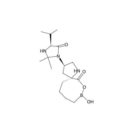 CC(C)[C@@H]1NC(C)(C)N([C@H]2CN[C@]3(CCCCB(O)OC3=O)C2)C1=O